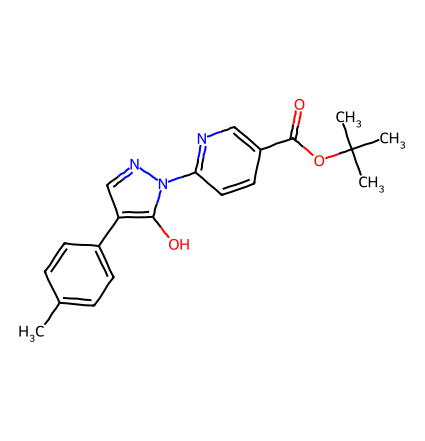 Cc1ccc(-c2cnn(-c3ccc(C(=O)OC(C)(C)C)cn3)c2O)cc1